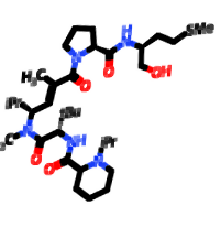 CSCC[C@@H](CO)NC(=O)[C@@H]1CCCN1C(=O)/C(C)=C/[C@H](C(C)C)N(C)C(=O)[C@@H](NC(=O)C1CCCCN1C(C)C)C(C)(C)C